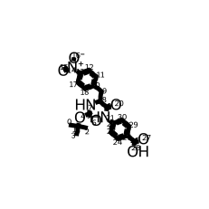 CC(C)(C)OC(=O)NC(Cc1ccc([N+](=O)[O-])cc1)C(=O)Nc1ccc(C(=O)O)cc1